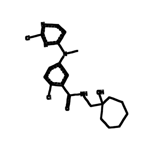 CN(c1ccc(Cl)c(C(=O)NCC2(O)CCCCCC2)c1)c1ccnc(Cl)n1